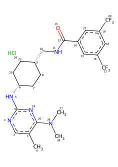 Cc1cnc(N[C@H]2CC[C@@H](CNC(=O)c3cc(C(F)(F)F)cc(C(F)(F)F)c3)CC2)nc1N(C)C.Cl